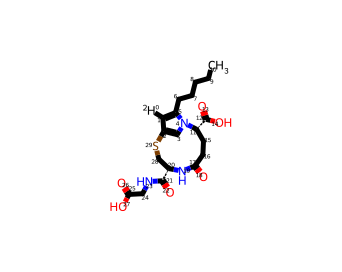 [2H]c1c2cn(c1CCCCC)[C@H](C(=O)O)CCC(=O)N[C@H](C(=O)NCC(=O)O)CS2